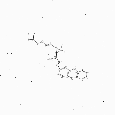 CC1(C)C(C=NOCC2CCC2)C1C(=O)OCc1ccc(F)c(Oc2ccccc2)c1